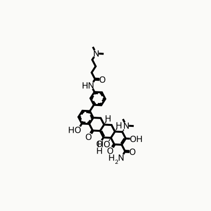 CN(C)CCCC(=O)Nc1cccc(-c2ccc(O)c3c2C[C@H]2C[C@H]4[C@H](N(C)C)C(O)=C(C(N)=O)C(=O)[C@@]4(O)C(O)=C2C3=O)c1